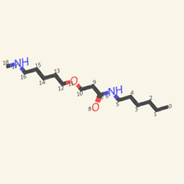 CCCCCCNC(=O)CCOCCCCCNC